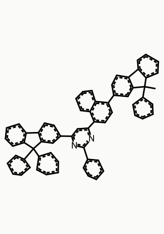 CC1(c2ccccc2)c2ccccc2-c2ccc(-c3ccc(-c4cc(-c5ccc6c(c5)C(c5ccccc5)(c5ccccc5)c5ccccc5-6)nc(-c5ccccc5)n4)c4ccccc34)cc21